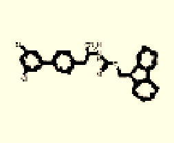 O=C(N[C@@H](Cc1ccc(-c2cc(Cl)cc(Cl)c2)cc1)C(=O)O)OCC1c2ccccc2-c2ccccc21